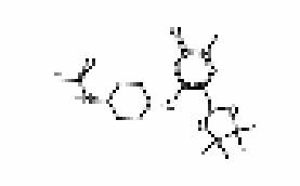 Cn1cc(B2OC(C)(C)C(C)(C)O2)c(O[C@H]2CC[C@H](NC(=O)O)CC2)cc1=O